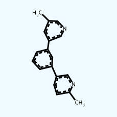 Cc1cncc(-c2cccc(-c3ccc(C)nc3)c2)c1